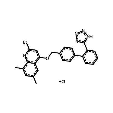 CCc1cc(OCc2ccc(-c3ccccc3-c3nnn[nH]3)cc2)c2cc(C)cc(C)c2n1.Cl